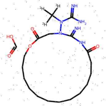 O=CO.[2H]C([2H])([2H])N(C(=N)N)N1CC(=O)OCCCCCCCCCCCCC(=O)NC1=N